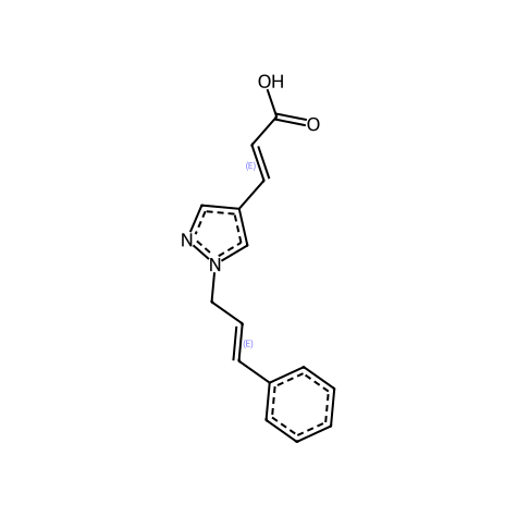 O=C(O)/C=C/c1cnn(C/C=C/c2ccccc2)c1